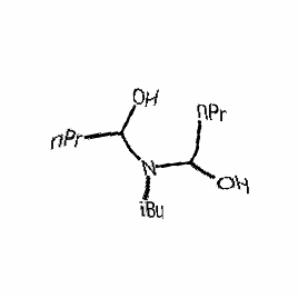 CCCC(O)N(C(C)CC)C(O)CCC